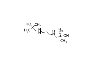 CC(C)(O)CNCCCNCC(C)(C)O